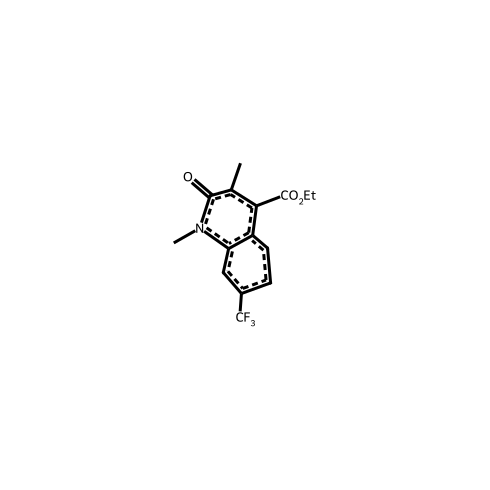 CCOC(=O)c1c(C)c(=O)n(C)c2cc(C(F)(F)F)ccc12